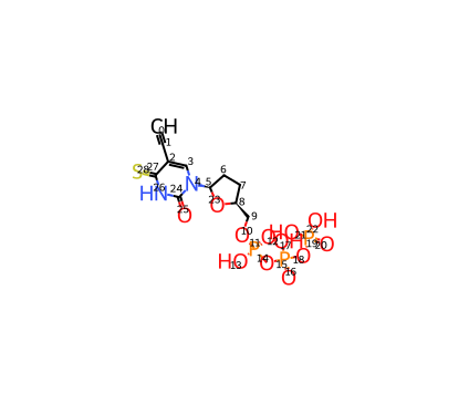 C#Cc1cn([C@H]2CC[C@@H](COP(=O)(O)OP(=O)(O)OP(=O)(O)O)O2)c(=O)[nH]c1=S